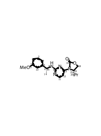 COc1cccc([C@@H](C)Nc2nccc(N3C(=O)OC[C@@H]3C(C)C)n2)c1